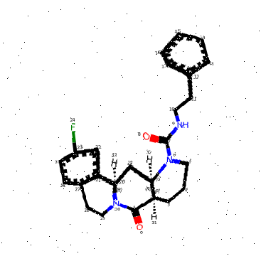 O=C1[C@@H]2CCCN(C(=O)NCCc3ccccc3)[C@@H]2C[C@@H]2c3cc(F)ccc3CCN12